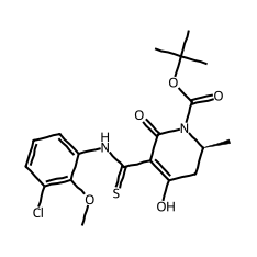 COc1c(Cl)cccc1NC(=S)C1=C(O)C[C@H](C)N(C(=O)OC(C)(C)C)C1=O